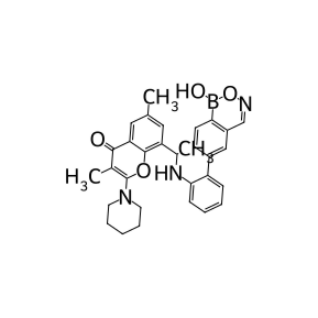 Cc1cc(C(C)Nc2ccccc2-c2ccc3c(c2)C=NOB3O)c2oc(N3CCCCC3)c(C)c(=O)c2c1